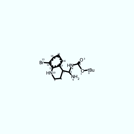 CC(C)(C)OC(=O)NC(N)C1CCNc2c(Br)cccc21